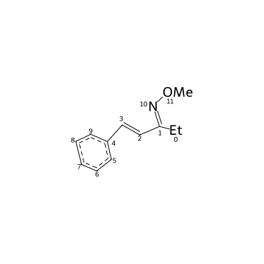 CCC(C=Cc1ccccc1)=NOC